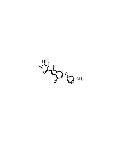 CNC(N)=NC(=O)c1cc2c(Cl)cc(Oc3ccnc(N)c3)cc2[nH]1